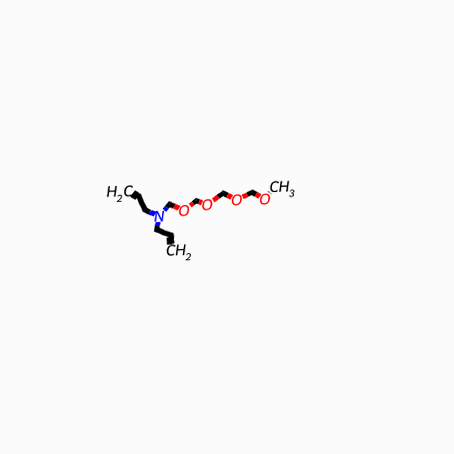 C=CCN(CC=C)COCOCOCOC